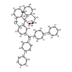 c1ccc(-c2ccc(N(c3ccc(-c4ccccc4)cc3)c3ccc4c(c3)[Si]3(c5ccccc5O4)c4ccccc4Sc4ccccc43)cc2)cc1